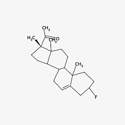 CC(=O)[C@@]1(C)CCC2C3CC=C4CC(F)CCC4(C)C3CCC21C